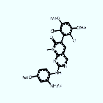 COc1ccc(Nc2ncc3cc(-c4c(Cl)c(OC)cc(OC)c4Cl)c(=O)n(C)c3n2)c(NC(C)=O)c1